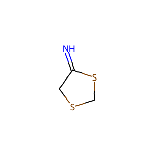 N=C1CSCS1